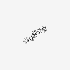 OC(=C1CC1)c1ccc(-c2ccnc(Nc3ccc(N4CCCCC4)cc3)n2)cc1